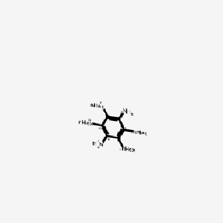 CCCCCCc1c(N)c(CCCCCC)c(CCCCCC)c(N)c1CCCCCC